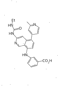 CCNC(=O)Nc1cc2c(-c3ccnc(C)c3)ccc(Nc3cccc(C(=O)O)c3)c2cn1